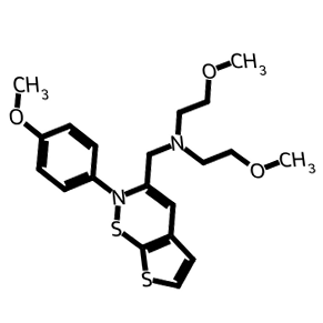 COCCN(CCOC)CC1=Cc2ccsc2SN1c1ccc(OC)cc1